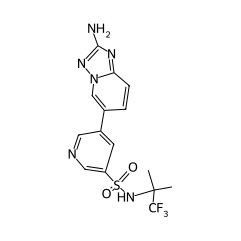 CC(C)(NS(=O)(=O)c1cncc(-c2ccc3nc(N)nn3c2)c1)C(F)(F)F